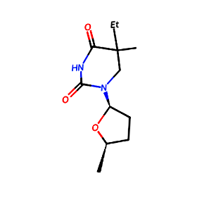 CCC1(C)CN([C@H]2CC[C@@H](C)O2)C(=O)NC1=O